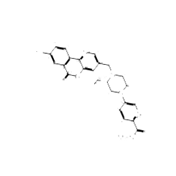 CNC(=O)c1ccc(N2CCN(Cc3cnc4c(c3)[nH]c(=O)c3cc(F)ccc34)[C@H](CO)C2)cn1